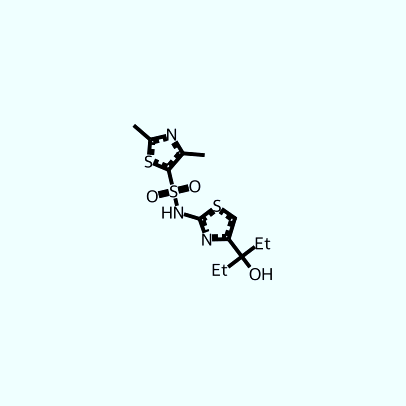 CCC(O)(CC)c1csc(NS(=O)(=O)c2sc(C)nc2C)n1